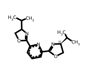 CC(C)C1COC(c2cccc(C3=N[C@@H](C(C)C)CO3)n2)=N1